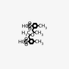 Cc1ccc(S(=O)(=O)O)c(CC(C)OC(C)Cc2cc(C)ccc2S(=O)(=O)O)c1